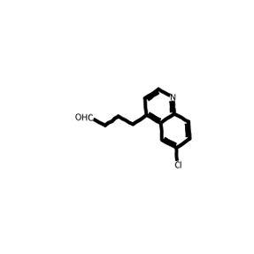 O=CCCCc1ccnc2ccc(Cl)cc12